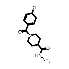 NNC(=O)C1CCN(C(=O)C2=CCC(Cl)C=C2)CC1